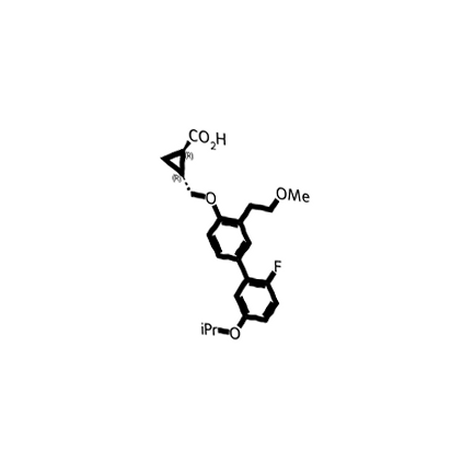 COCCc1cc(-c2cc(OC(C)C)ccc2F)ccc1OC[C@@H]1C[C@H]1C(=O)O